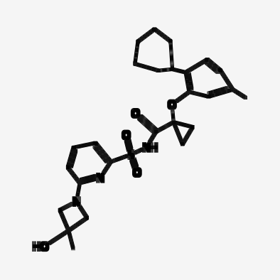 Cc1ccc(C2CCCCC2)c(OC2(C(=O)NS(=O)(=O)c3cccc(N4CC(C)(O)C4)n3)CC2)c1